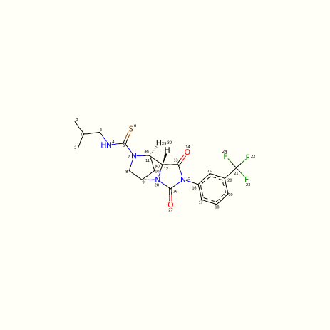 CC(C)CNC(=S)N1CC2C[C@@H]1[C@@H]1C(=O)N(c3cccc(C(F)(F)F)c3)C(=O)N21